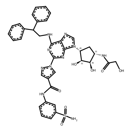 NS(=O)(=O)c1cccc(NC(=O)c2cnn(-c3nc(NCC(c4ccccc4)c4ccccc4)c4ncn([C@@H]5C[C@H](NC(=O)CO)[C@@H](O)[C@H]5O)c4n3)c2)c1